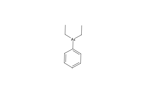 CC[As](CC)c1cc[c]cc1